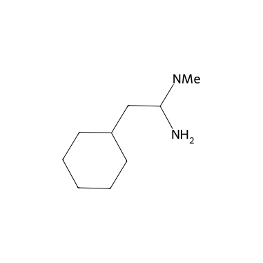 CNC(N)CC1CCCCC1